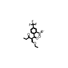 CCO/C=C(/C(=O)CC)C(=O)c1ccc(C(F)(F)F)cc1[N+](=O)[O-]